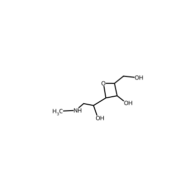 CNCC(O)C1OC(CO)C1O